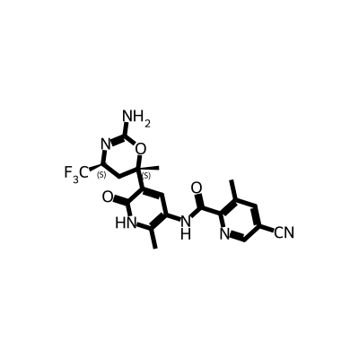 Cc1cc(C#N)cnc1C(=O)Nc1cc([C@]2(C)C[C@@H](C(F)(F)F)N=C(N)O2)c(=O)[nH]c1C